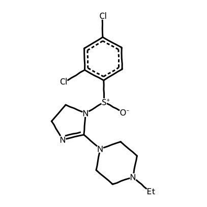 CCN1CCN(C2=NCCN2[S+]([O-])c2ccc(Cl)cc2Cl)CC1